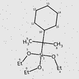 CCO[Si](OCC)(OCC)C(C)(C)C1CCCCC1